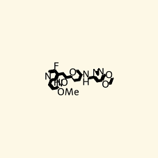 COc1ccc2ncc(F)c(C[C@H](O)[C@@H]3CC[C@@H](NCc4cc5c(nn4)OCCO5)CO3)c2n1